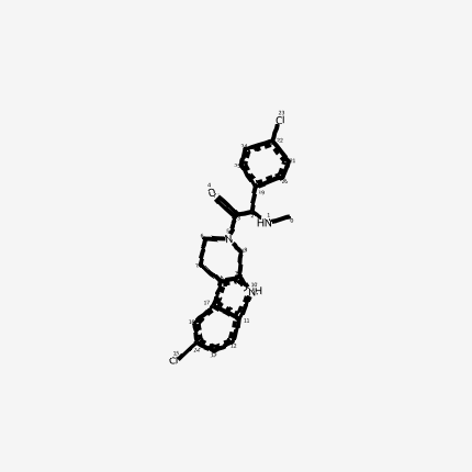 CNC(C(=O)N1CCc2c([nH]c3ccc(Cl)cc23)C1)c1ccc(Cl)cc1